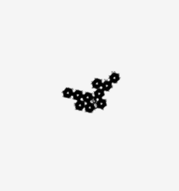 O=P12c3ccccc3-c3cc(-c4ccc(-c5ccccc5)cc4-c4ccccc4)ccc3N1c1ccc(-c3ccc(-c4ccccc4)cc3-c3ccccc3)cc1-c1ccccc12